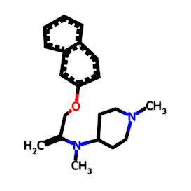 C=C(COc1ccc2ccccc2c1)N(C)C1CCN(C)CC1